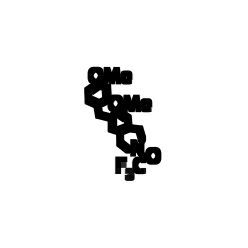 COc1ccc(Cc2cc3c(cc2OC)CCN(C(=O)C(F)(F)F)CC3)cc1